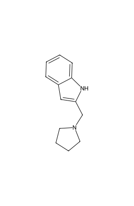 c1ccc2[nH]c(CN3CCCC3)cc2c1